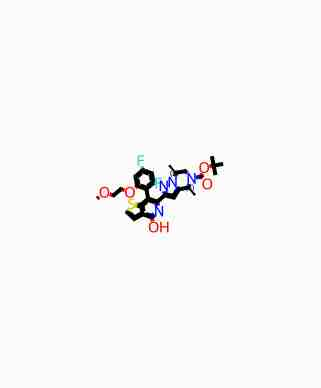 COCCOc1cc(F)cc(F)c1-c1c(-c2cc3n(n2)[C@@H](C)CN(C(=O)OC(C)(C)C)[C@H]3C)nc(O)c2ccsc12